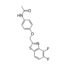 CC(=O)Nc1ccc(OCc2nc3c(F)c(F)ccc3s2)cc1